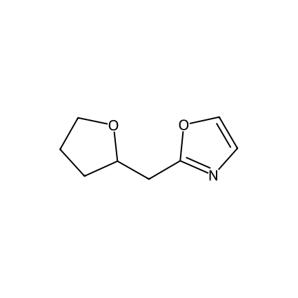 c1coc(CC2CCCO2)n1